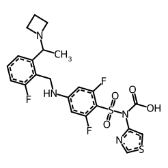 CC(c1cccc(F)c1CNc1cc(F)c(S(=O)(=O)N(C(=O)O)c2cscn2)c(F)c1)N1CCC1